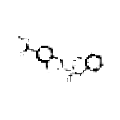 COC(=O)c1ccc(CNS(=O)(=O)Cc2ccccc2C)c(F)c1